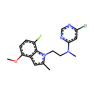 COc1ccc(F)c2c1cc(C)n2CCN(C)c1cc(Cl)ncn1